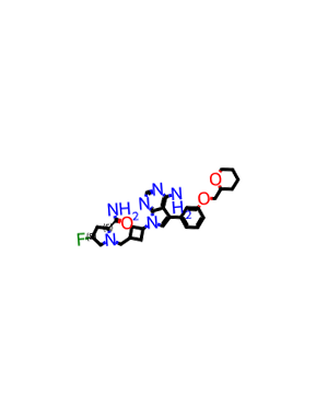 NC(=O)[C@@H]1C[C@H](F)CN1CC1CC(n2cc(-c3cccc(OCC4CCCCO4)c3)c3c(N)ncnc32)C1